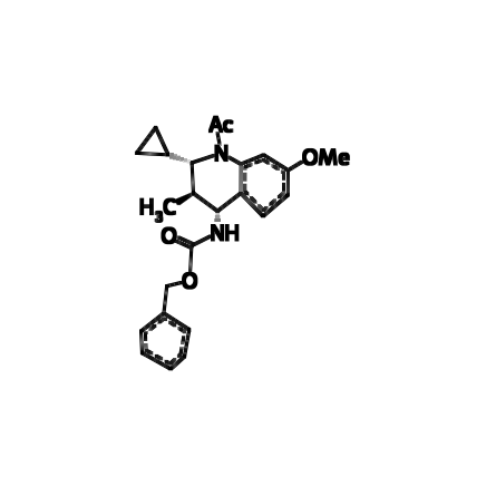 COc1ccc2c(c1)N(C(C)=O)[C@@H](C1CC1)[C@H](C)[C@H]2NC(=O)OCc1ccccc1